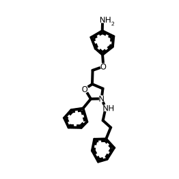 Nc1ccc(OCC2CN(NCCc3ccccc3)C(c3ccccc3)O2)cc1